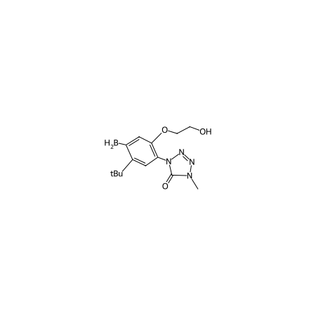 Bc1cc(OCCO)c(-n2nnn(C)c2=O)cc1C(C)(C)C